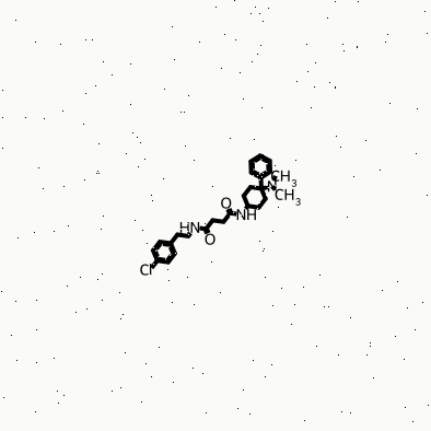 CN(C)C1(c2ccccc2)CCC(NC(=O)CCC(=O)NCCc2ccc(Cl)cc2)CC1